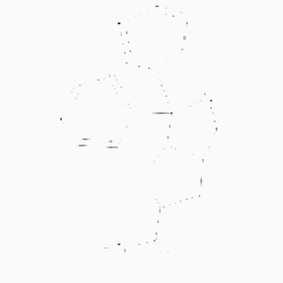 NC(=O)C1CC2CNC(c3ccccc3)(c3ccccc3)C2C1